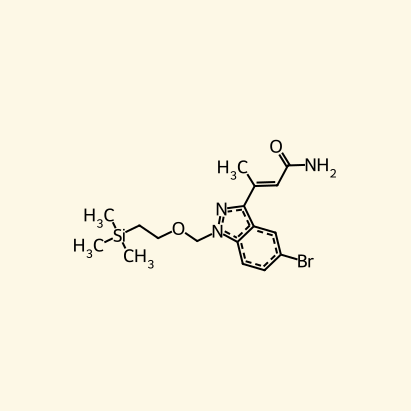 CC(=CC(N)=O)c1nn(COCC[Si](C)(C)C)c2ccc(Br)cc12